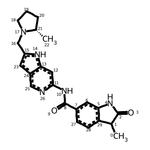 CC1C(=O)Nc2cc(C(=O)Nc3cc4[nH]c(CN5CCC[C@@H]5C)cc4cn3)ccc21